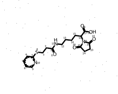 O=C(CCSc1ccccn1)NCCCCC(C(=O)O)N1C(=O)CCC1=O